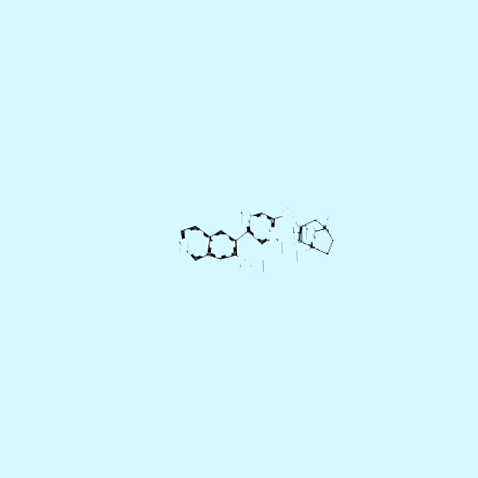 C[C@@]12CC[C@@H](N1)[C@H](F)[C@@H](Oc1cnc(-c3cc4ccncc4cc3O)cn1)C2